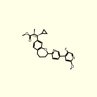 COC(=O)[C@@H](C)[C@H](c1ccc2c(c1)OC(c1ccc(-c3cc(OC)ncc3F)cn1)CCC2)C1CC1